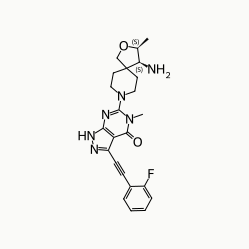 C[C@@H]1OCC2(CCN(c3nc4[nH]nc(C#Cc5ccccc5F)c4c(=O)n3C)CC2)[C@@H]1N